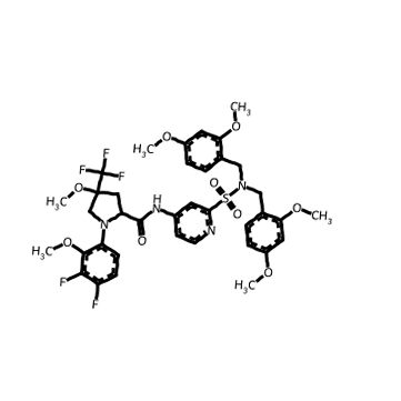 COc1ccc(CN(Cc2ccc(OC)cc2OC)S(=O)(=O)c2cc(NC(=O)C3CC(OC)(C(F)(F)F)CN3c3ccc(F)c(F)c3OC)ccn2)c(OC)c1